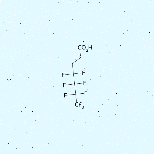 O=C(O)CCC(F)(F)C(F)(F)C(F)(F)C(F)(F)F